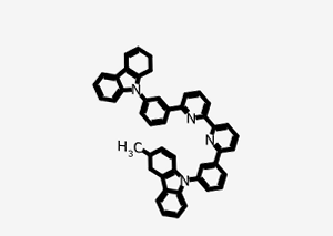 CC1C=Cc2c(c3ccccc3n2-c2cccc(-c3cccc(-c4cccc(-c5cccc(-n6c7c(c8ccccc86)C=CCC7)c5)n4)n3)c2)C1